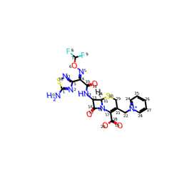 Nc1nc(/C(=N\OC(F)F)C(=O)NC2C(=O)N3C(C(=O)[O-])=C(C[n+]4ccccc4)CS[C@H]23)ns1